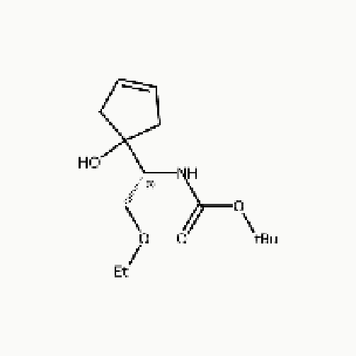 CCOC[C@@H](NC(=O)OC(C)(C)C)C1(O)CC=CC1